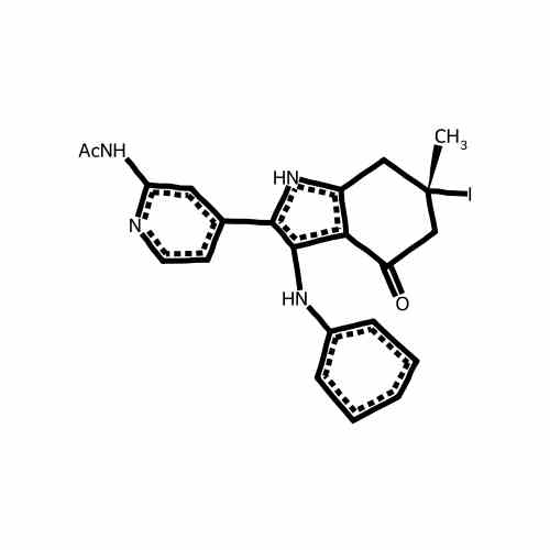 CC(=O)Nc1cc(-c2[nH]c3c(c2Nc2ccccc2)C(=O)C[C@@](C)(I)C3)ccn1